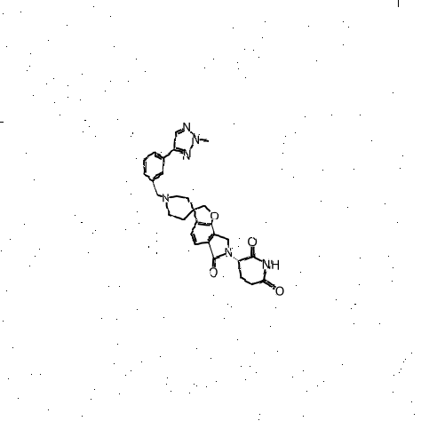 Cn1ncc(-c2cccc(CN3CCC4(CC3)COc3c4ccc4c3CN([C@H]3CCC(=O)NC3=O)C4=O)c2)n1